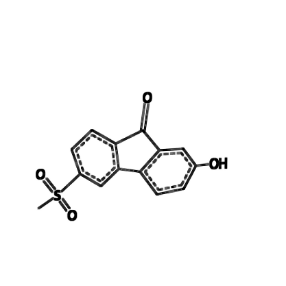 CS(=O)(=O)c1ccc2c(c1)-c1ccc(O)cc1C2=O